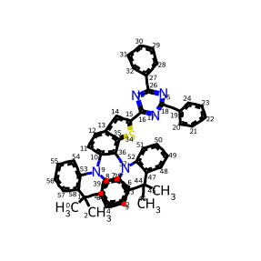 CC1(C)c2ccccc2N(c2ccc3cc(-c4nc(-c5ccccc5)nc(-c5ccccc5)n4)sc3c2N2c3ccccc3C(C)(C)c3ccccc32)c2ccccc21